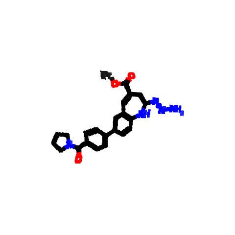 CC(C)OC(=O)C1=Cc2cc(-c3ccc(C(=O)N4CCCC4)cc3)ccc2NC(N=NN)C1